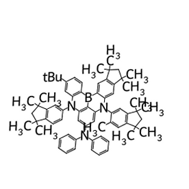 Cc1cc2c(cc1N1c3cc4c(cc3B3c5ccc(C(C)(C)C)cc5N(c5ccc6c(c5)C(C)(C)CC6(C)C)c5cc(N(c6ccccc6)c6ccccc6)cc1c53)C(C)(C)CC4(C)C)C(C)(C)CC2(C)C